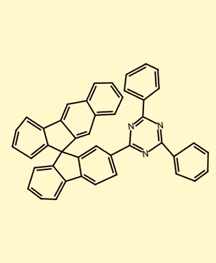 c1ccc(-c2nc(-c3ccccc3)nc(-c3ccc4c(c3)C3(c5ccccc5-4)c4ccccc4-c4cc5ccccc5cc43)n2)cc1